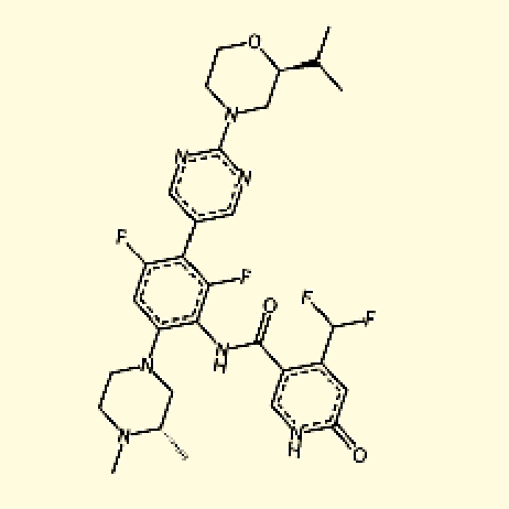 CC(C)[C@H]1CN(c2ncc(-c3c(F)cc(N4CCN(C)[C@@H](C)C4)c(NC(=O)c4c[nH]c(=O)cc4C(F)F)c3F)cn2)CCO1